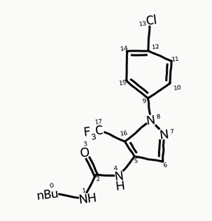 CCCCNC(=O)Nc1cnn(-c2ccc(Cl)cc2)c1C(F)(F)F